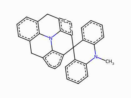 CN1c2ccccc2C2(c3ccccc31)c1cccc3c1N1c4c(cccc4Cc4cccc2c41)C3